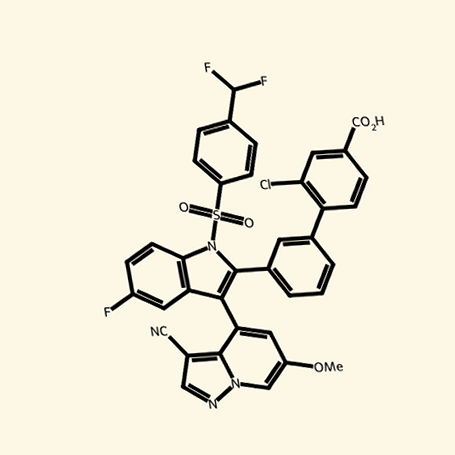 COc1cc(-c2c(-c3cccc(-c4ccc(C(=O)O)cc4Cl)c3)n(S(=O)(=O)c3ccc(C(F)F)cc3)c3ccc(F)cc23)c2c(C#N)cnn2c1